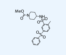 COC(=O)N1CCC(NS(=O)(=O)c2cc(S(=O)(=O)c3ccccc3)ccc2C)CC1